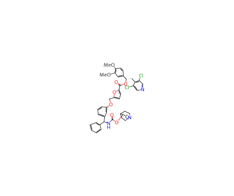 COc1ccc([C@H](Cc2c(Cl)cncc2Cl)OC(=O)c2ccc(COc3cccc([C@@H](NC(=O)OC4CN5CCC4CC5)c4ccccc4)c3)o2)cc1OC